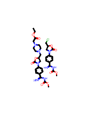 CCOC(=O)CN1CCN(CC2CN(c3ccc(C(=N)NC(=O)OC)cc3)C(=O)O2)CC1.COC(=O)NC(=N)c1ccc(N2CC(CCl)OC2=O)cc1